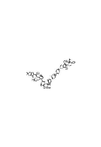 COc1ncc(-c2ccnc(N3CCn4c(cc5c4CC(C)(C)C5)C3=O)c2CO)cc1Nc1ccc(N2CCN(C3CCN(c4ccc5c(c4)C(=O)N(C4CCC(=O)NC4=O)C5=O)CC3)C[C@@H]2C)cn1